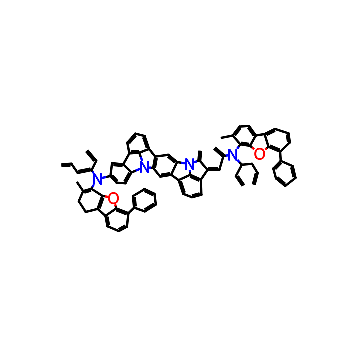 C=C/C=C(\C=C)N(C1=C(C)CCc2c1oc1c(-c3ccccc3)cccc21)c1ccc2c(c1)c1cccc3c4cc5c(cc4n2c13)c1cccc2/c(=C/C(=C)N(c3c(C)ccc4c3oc3c(-c6ccccc6)cccc34)C(C=C)CC=C)c(=C)n5c21